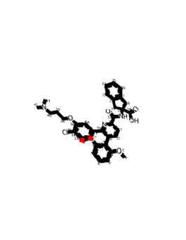 COc1cccc(OC)c1-c1ccc(C(=O)NC2(C(=O)O)Cc3ccccc3C2)nc1-c1ccc(Cl)c(OCCCN(C)C)c1